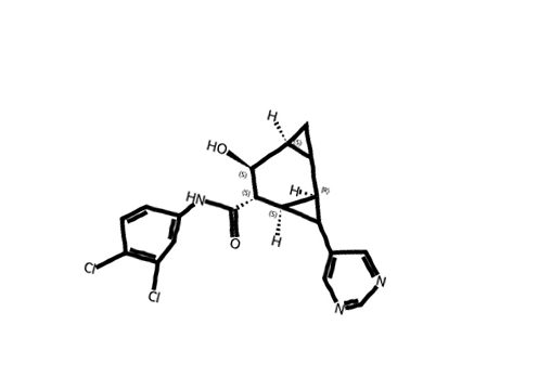 O=C(Nc1ccc(Cl)c(Cl)c1)[C@@H]1[C@@H](O)[C@H]2CC2[C@H]2C(c3cncnc3)[C@H]21